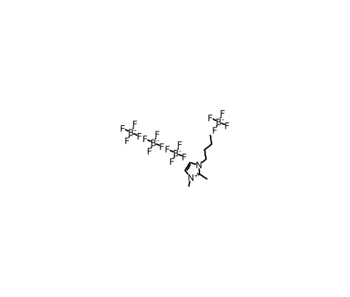 CCCCn1cc[n+](C)c1C.F[B-](F)(F)F.F[B-](F)(F)F.F[B-](F)(F)F.F[B-](F)(F)F